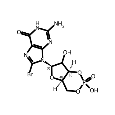 Nc1nc2c(nc(Br)n2[C@@H]2O[C@@H]3COP(=O)(O)O[C@@H]3C2O)c(=O)[nH]1